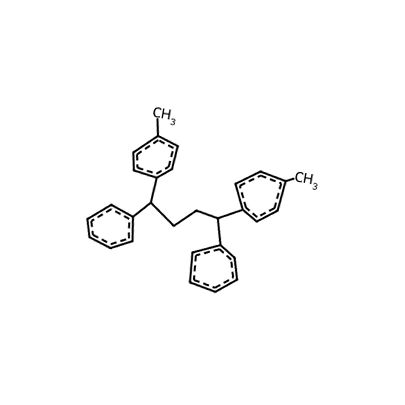 Cc1ccc(C(CCC(c2ccccc2)c2ccc(C)cc2)c2ccccc2)cc1